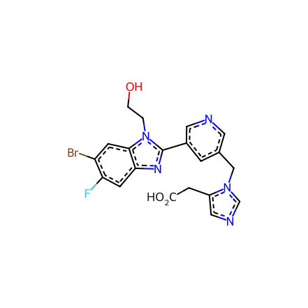 O=C(O)Cc1cncn1Cc1cncc(-c2nc3cc(F)c(Br)cc3n2CCO)c1